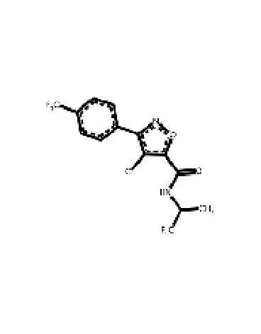 CC(NC(=O)c1onc(-c2ccc(C(F)(F)F)cc2)c1Cl)C(F)(F)F